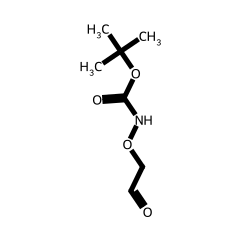 CC(C)(C)OC(=O)NOCC=O